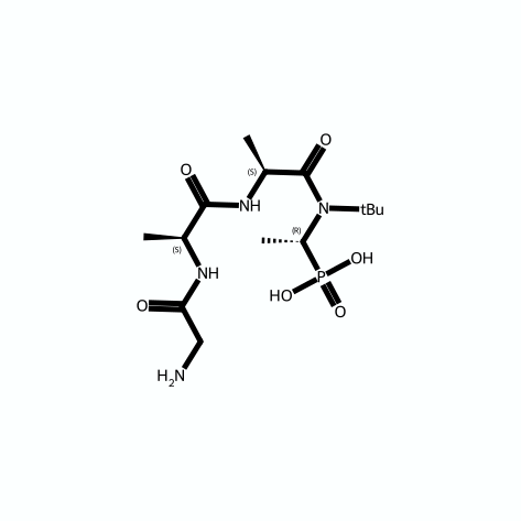 C[C@H](NC(=O)CN)C(=O)N[C@@H](C)C(=O)N([C@@H](C)P(=O)(O)O)C(C)(C)C